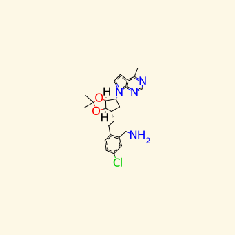 Cc1ncnc2c1ccn2[C@@H]1C[C@H](CCc2ccc(Cl)cc2CN)[C@H]2OC(C)(C)O[C@H]21